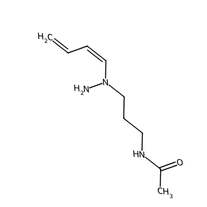 C=C/C=C\N(N)CCCNC(C)=O